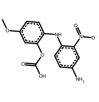 COc1ccc(Nc2ccc(N)cc2[N+](=O)[O-])c(OC(=O)O)c1